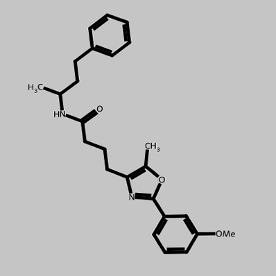 COc1cccc(-c2nc(CCCC(=O)NC(C)CCc3ccccc3)c(C)o2)c1